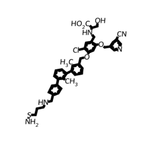 Cc1c(COc2cc(OCc3cncc(C#N)c3)c(CNC(CO)C(=O)O)cc2Cl)cccc1-c1cccc(-c2ccc(CNCCCSN)cc2)c1C